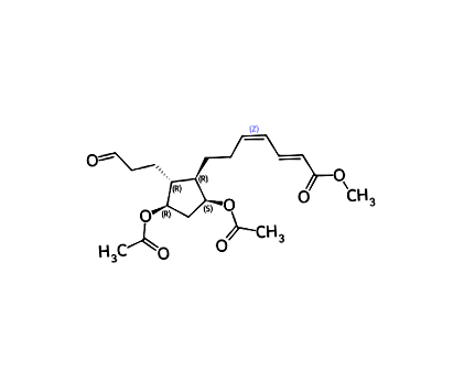 COC(=O)C=C/C=C\CC[C@@H]1[C@@H](CCC=O)[C@H](OC(C)=O)C[C@@H]1OC(C)=O